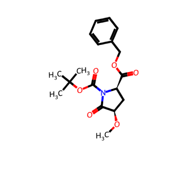 CO[C@@H]1C[C@H](C(=O)OCc2ccccc2)N(C(=O)OC(C)(C)C)C1=O